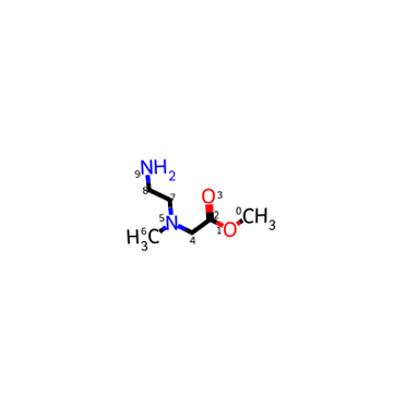 COC(=O)CN(C)CCN